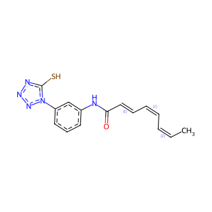 C\C=C/C=C\C=C\C(=O)Nc1cccc(-n2nnnc2S)c1